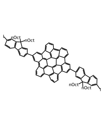 CCCCCCCCC1(CCCCCCCC)c2cc(I)ccc2-c2ccc(-c3cc4c5cccc6c7cccc8c9cc(-c%10ccc%11c(c%10)C(CCCCCCCC)(CCCCCCCC)c%10cc(I)ccc%10-%11)cc%10c%11cccc%12c%13cccc%14c(c3)c4c3c(c65)c(c78)c(c9%10)c(c%12%11)c3c%13%14)cc21